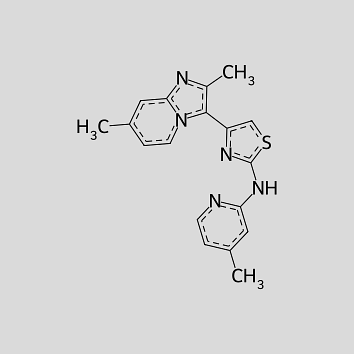 Cc1ccnc(Nc2nc(-c3c(C)nc4cc(C)ccn34)cs2)c1